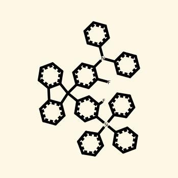 Fc1cc(C2(c3ccc([Si](c4ccccc4)(c4ccccc4)c4ccccc4)c(F)c3)c3ccccc3-c3ccccc32)ccc1N(c1ccccc1)c1ccccc1